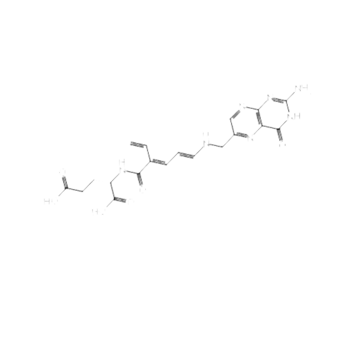 C=C/C(=C\C=C\NCc1cnc2nc(N)[nH]c(=O)c2n1)C(=O)N[C@@H](CCC(=O)O)C(=O)O